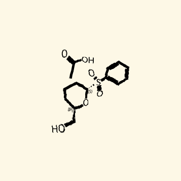 CC(=O)O.O=S(=O)(c1ccccc1)[C@H]1CCC[C@H](CO)O1